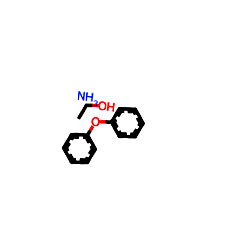 CCO.N.c1ccc(Oc2ccccc2)cc1